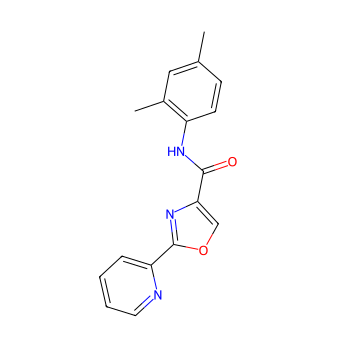 Cc1ccc(NC(=O)c2coc(-c3ccccn3)n2)c(C)c1